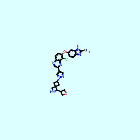 Cc1nc2ccc(Oc3ccc4ncc(-c5cnn(C6CC7(CNC7C7COC7)C6)c5)nc4c3Cl)cc2[nH]1